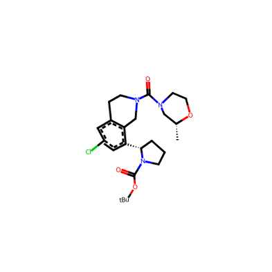 C[C@@H]1CN(C(=O)N2CCc3cc(Cl)cc([C@@H]4CCCN4C(=O)OC(C)(C)C)c3C2)CCO1